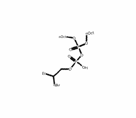 CCCCCCCCOP(=O)(OCCCCCCCC)OP(=O)(O)OCC(CC)CCCC